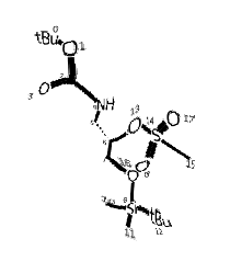 CC(C)(C)OC(=O)NC[C@@H](CO[Si](C)(C)C(C)(C)C)OS(C)(=O)=O